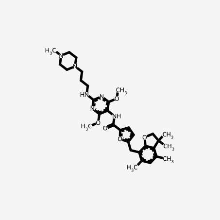 COc1nc(NCCCN2CCN(C)CC2)nc(OC)c1NC(=O)c1ccc(Cc2c(C)cc(C)c3c2OCC3(C)C)o1